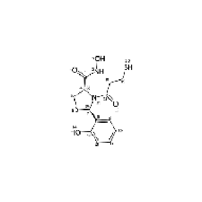 O=C(NO)[C@@H]1CS[C@H](c2ccccc2O)N1C(=O)CCS